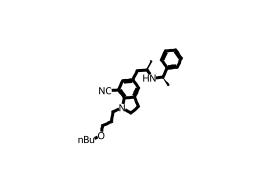 CCCCOCCCN1CCc2cc(C[C@@H](C)N[C@H](C)c3ccccc3)cc(C#N)c21